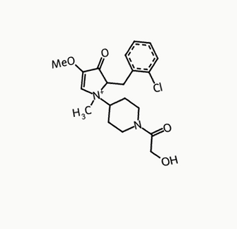 COC1=C[N+](C)(C2CCN(C(=O)CO)CC2)C(Cc2ccccc2Cl)C1=O